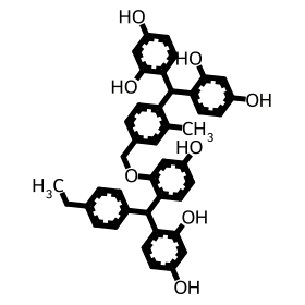 CCc1ccc(C(c2ccc(O)cc2O)c2ccc(O)cc2OCc2ccc(C(c3ccc(O)cc3O)c3ccc(O)cc3O)c(C)c2)cc1